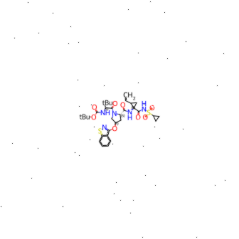 C=CC1C[C@]1(NC(=O)[C@@H]1C[C@@H](Oc2nsc3ccccc23)CN1C(=O)[C@@H](NC(=O)OC(C)(C)C)C(C)(C)C)C(=O)NS(=O)(=O)C1CC1